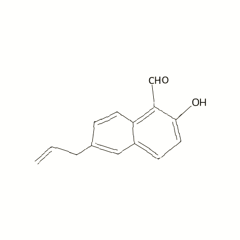 C=CCc1ccc2c(C=O)c(O)ccc2c1